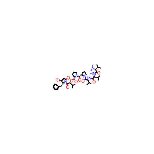 COC1=CC(=O)N(C(=O)C(OC(=O)[C@@H]2CCCN2C(=O)[C@@H]2CCCN2C(=O)[C@@H](NC(=O)[C@@H](NC(=O)[C@H](C(C)C)N(C)C)C(C)C)C(C)C)C(C)C)[C@H]1Cc1ccccc1